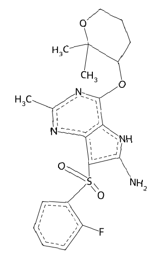 Cc1nc(OC2CCCOC2(C)C)c2[nH]c(N)c(S(=O)(=O)c3ccccc3F)c2n1